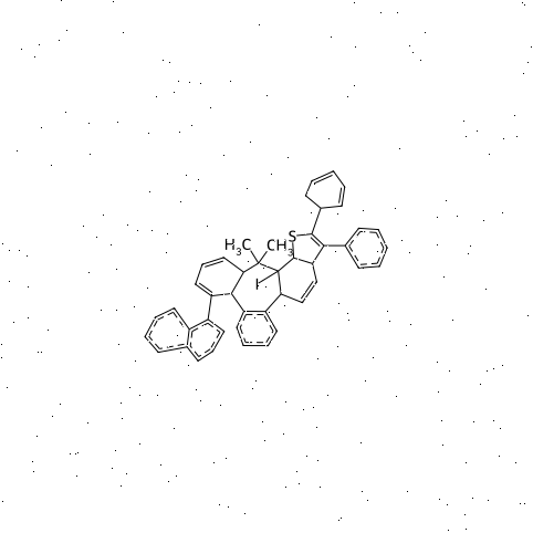 CC1(C)C2C=CC=C(c3cccc4ccccc34)C2c2ccccc2C2C=CC3C(c4ccccc4)=C(C4C=CC=CC4)SC3C21I